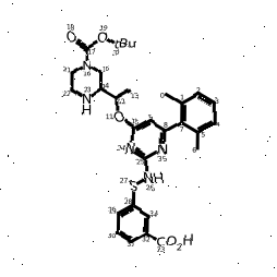 Cc1cccc(C)c1-c1cc(OC(C)C2CN(C(=O)OC(C)(C)C)CCN2)nc(NSc2cccc(C(=O)O)c2)n1